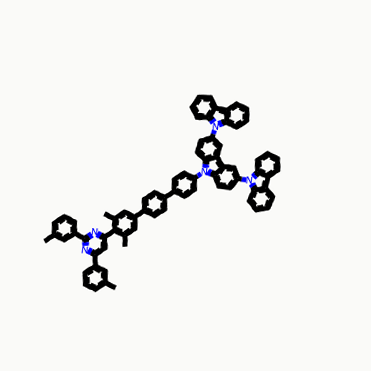 Cc1cccc(-c2cc(-c3c(C)cc(-c4ccc(-c5ccc(-n6c7ccc(-n8c9ccccc9c9ccccc98)cc7c7cc(-n8c9ccccc9c9ccccc98)ccc76)cc5)cc4)cc3C)nc(-c3cccc(C)c3)n2)c1